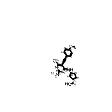 COc1ccc(C#Cc2c(Cl)nc(N)nc2N[C@H]2CC[C@@H](CO)C2)cc1